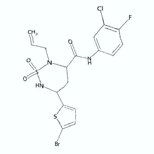 C=CCN1C(C(=O)Nc2ccc(F)c(Cl)c2)CC(c2ccc(Br)s2)NS1(=O)=O